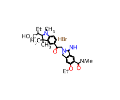 Br.CCOc1cc2c(cc1C(=O)NC)C(=N)N(CC(=O)c1ccc3c(c1)C(C)(C)C(C(CC)C(=O)O)N3C)C2